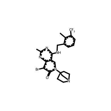 Cc1nc(NCc2cccc(C(F)(F)F)c2C)c2cn(C34CCN(CC3)CC4)c(=O)c(Br)c2n1